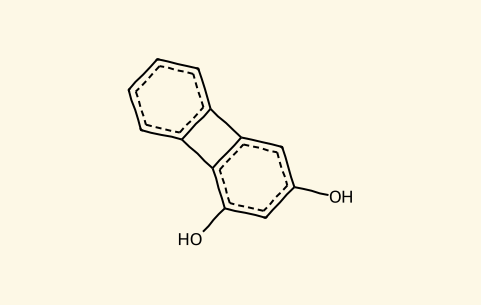 Oc1cc(O)c2c(c1)-c1ccccc1-2